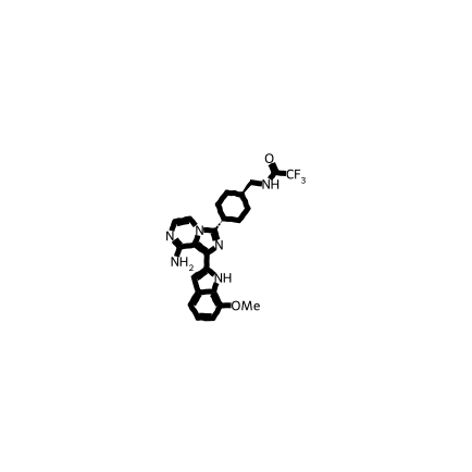 COc1cccc2cc(-c3nc([C@H]4CC[C@H](CNC(=O)C(F)(F)F)CC4)n4ccnc(N)c34)[nH]c12